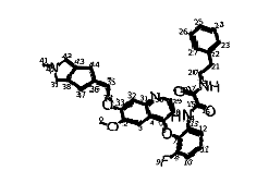 COc1cc2c(Oc3c(F)cccc3NC(=O)C(=O)NCCc3ccccc3)ccnc2cc1OCC1CC2CN(C)CC2C1